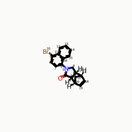 O=C1[C@@H]2[C@H](CN1c1ccc(Br)c3ccccc13)[C@@H]1C=C[C@H]2C1